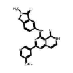 COc1cncc(-c2cc3cc[nH]c(=O)c3c(Nc3ccc4c(c3)C(=O)N(C)C4)n2)c1